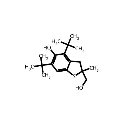 CC1(CO)Cc2c(cc(C(C)(C)C)c(O)c2C(C)(C)C)S1